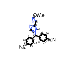 CO/N=C/c1ncn(C(c2ccc(C#N)cc2)c2ccc(C#N)cc2)n1